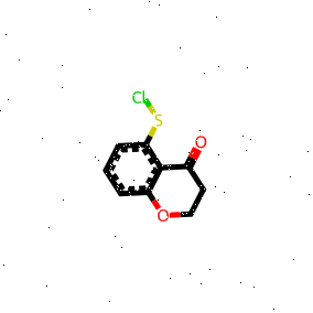 O=C1CCOc2cccc(SCl)c21